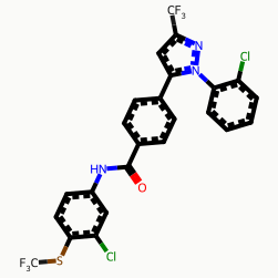 O=C(Nc1ccc(SC(F)(F)F)c(Cl)c1)c1ccc(-c2cc(C(F)(F)F)nn2-c2ccccc2Cl)cc1